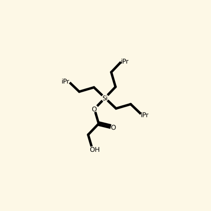 CC(C)CC[Si](CCC(C)C)(CCC(C)C)OC(=O)CO